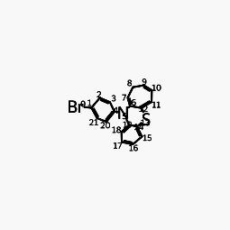 Brc1ccc(N2C3=CCC=CC=C3Sc3ccccc32)cc1